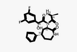 C[C@H](N)C(=O)N(C(=O)[C@H](O)c1cc(F)cc(F)c1)[C@H]1C[C@@H](c2ccccc2)CCNC1=O